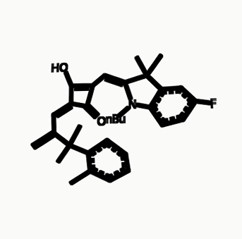 C=C(/C=C1\C(=O)C(/C=C2\N(CCCC)c3ccc(F)cc3C2(C)C)=C1O)C(C)(C)c1ccccc1C